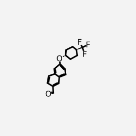 O=Cc1ccc2cc(O[C@H]3CC[C@H](C(F)(F)F)CC3)ccc2c1